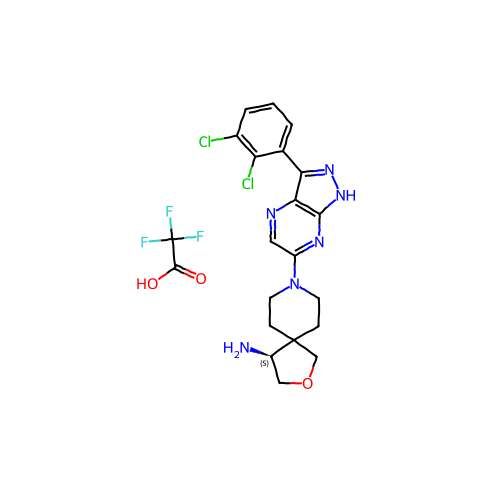 N[C@@H]1COCC12CCN(c1cnc3c(-c4cccc(Cl)c4Cl)n[nH]c3n1)CC2.O=C(O)C(F)(F)F